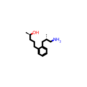 C[C@H](CN)Cc1ccccc1CCC[C@@H](C)O